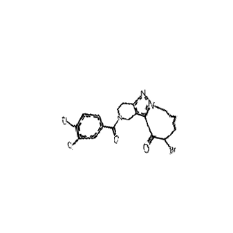 O=C1c2c3c(nn2CCCC1Br)CCN(C(=O)c1ccc(Cl)c(Cl)c1)C3